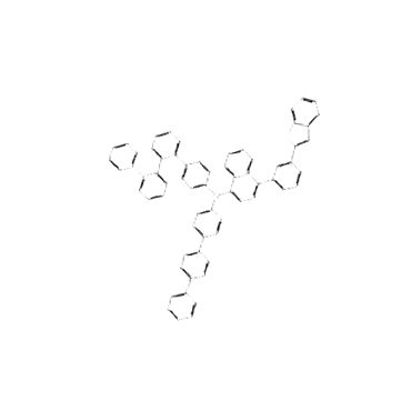 c1ccc(-c2ccc(-c3ccc(N(c4ccc(-c5ccccc5-c5ccccc5-c5ccccc5)cc4)c4ccc(-c5cccc(-c6cc7ccccc7o6)c5)c5ccccc45)cc3)cc2)cc1